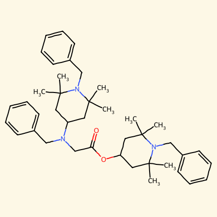 CC1(C)CC(OC(=O)CN(Cc2ccccc2)C2CC(C)(C)N(Cc3ccccc3)C(C)(C)C2)CC(C)(C)N1Cc1ccccc1